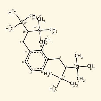 Cc1c(CC([Si](C)(C)C)[Si](C)(C)C)cccc1CC([Si](C)(C)C)[Si](C)(C)C